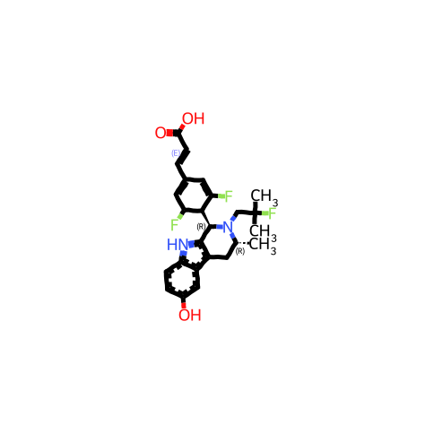 C[C@@H]1Cc2c([nH]c3ccc(O)cc23)[C@@H](C2C(F)=CC(/C=C/C(=O)O)=CC2F)N1CC(C)(C)F